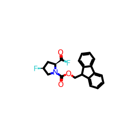 O=C(F)[C@@H]1C[C@H](F)CN1C(=O)OCC1c2ccccc2-c2ccccc21